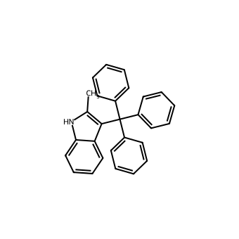 Cc1[nH]c2ccccc2c1C(c1ccccc1)(c1ccccc1)c1ccccc1